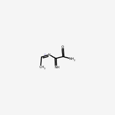 C/C=N\C(=N)C(N)=O